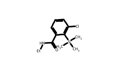 CCNC(=O)c1cccc(Cl)c1[Si](C)(C)C